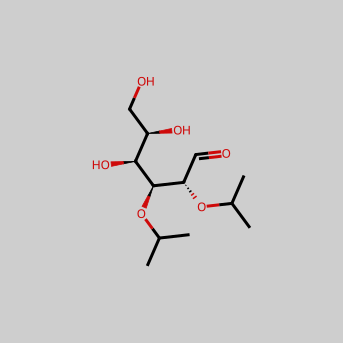 CC(C)O[C@@H]([C@@H](O)[C@H](O)CO)[C@H](C=O)OC(C)C